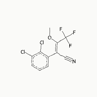 COC(=C(C#N)c1cccc(Cl)c1Cl)C(F)(F)F